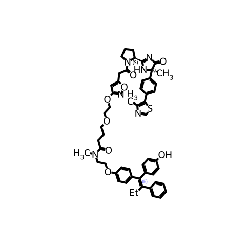 CC/C(=C(/c1ccc(O)cc1)c1ccc(OCCN(C)C(=O)CCCOCCOc2cc(CC(=O)N3CCC[C@H]3C3=NC(=O)[C@@](C)(c4ccc(-c5scnc5C)cc4)N3)on2)cc1)c1ccccc1